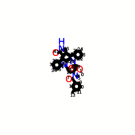 COC1C(N(C)C(=O)c2cccc(C)c2)CC2OC1(C)n1c3ccccc3c3c4c(c5c6ccccc6n2c5c31)C(=O)NC4